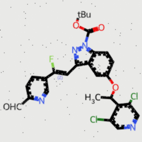 CC(Oc1ccc2c(c1)c(/C=C(\F)c1ccc(C=O)nc1)nn2C(=O)OC(C)(C)C)c1c(Cl)cncc1Cl